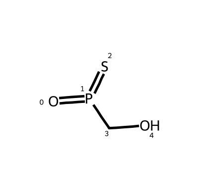 O=P(=S)CO